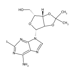 CC1(C)OC2[C@@H](O1)[C@@H](CO)O[C@H]2n1cnc2c(N)nc(I)nc21